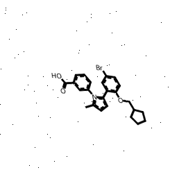 Cc1ccc(-c2cc(Br)ccc2OCC2CCCC2)n1-c1cccc(C(=O)O)c1